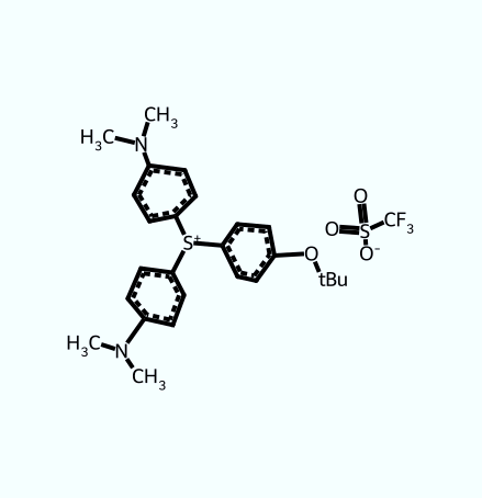 CN(C)c1ccc([S+](c2ccc(OC(C)(C)C)cc2)c2ccc(N(C)C)cc2)cc1.O=S(=O)([O-])C(F)(F)F